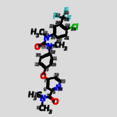 CN(C)C(=O)c1cc(Oc2ccc(N(C)C(=O)N(C)c3ccc(Cl)c(C(F)(F)F)c3)cc2)ccn1